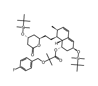 C[C@H]1C=CC2=C[C@@H](O[Si](C)(C)C(C)(C)C)C[C@H](OC(=O)C(C)(C)OCc3ccc(F)cc3)[C@@H]2[C@H]1CC[C@@H]1C[C@@H](O[Si](C)(C)C(C)(C)C)CC(=O)O1